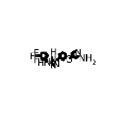 Nc1cc(Oc2cccc(-c3nnc(Nc4cccc(C(F)(F)F)c4)[nH]3)c2)ccn1